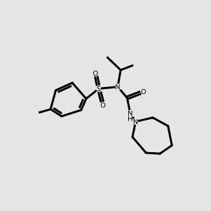 Cc1ccc(S(=O)(=O)N(C(=O)NN2CCCCCC2)C(C)C)cc1